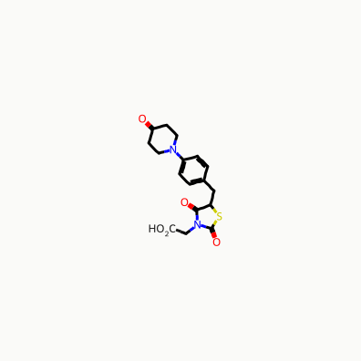 O=C(O)CN1C(=O)SC(Cc2ccc(N3CCC(=O)CC3)cc2)C1=O